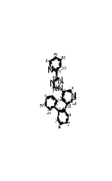 c1ccc(-c2ccccc2-c2cncc(-n3nnc(-c4ccccn4)n3)c2)cc1